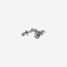 Nc1ncnc2c1nc(NCc1ccc(-c3cccc(CCCCNC(=O)OCc4ccccc4)c3)cc1)n2[C@@H]1O[C@H](CO)[C@@H](O)[C@H]1O